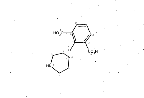 C1CNCCN1.Cc1c(C(=O)O)cccc1C(=O)O